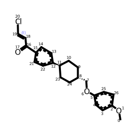 COc1ccc(OC[C@H]2CC[C@H](c3ccc(C(=O)/C=C/Cl)cc3)CC2)cc1